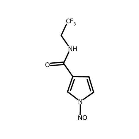 O=Nn1ccc(C(=O)NCC(F)(F)F)c1